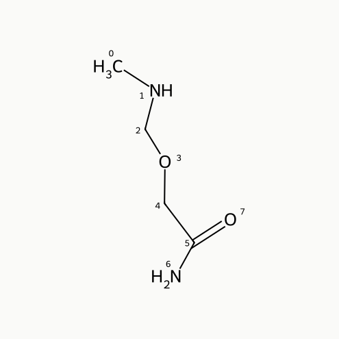 CNCOCC(N)=O